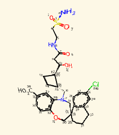 NS(=O)(=O)CCNC(=O)CC(O)[C@@H]1CC[C@H]1CN1C[C@@]2(CCCc3cc(Cl)ccc32)COc2ccc(C(=O)O)cc21